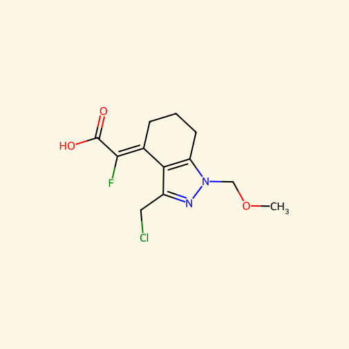 COCn1nc(CCl)c2c1CCC/C2=C(/F)C(=O)O